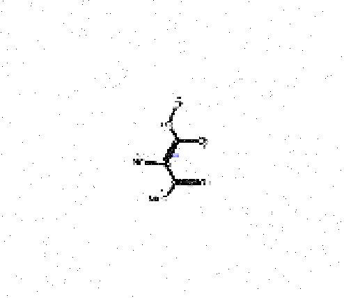 CCO/C(CC)=C(\C#N)C(=O)OC